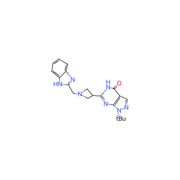 CC(C)(C)n1ncc2c(=O)[nH]c(C3CN(Cc4nc5ccccc5[nH]4)C3)nc21